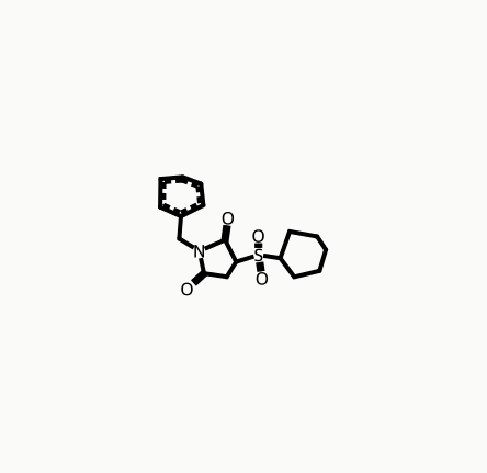 O=C1CC(S(=O)(=O)C2CCCCC2)C(=O)N1Cc1ccccc1